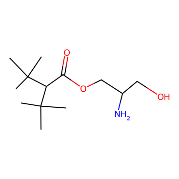 CC(C)(C)C(C(=O)OCC(N)CO)C(C)(C)C